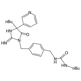 CCCCNC(=O)NCc1ccc(CN2C(=N)NC(CCCC)(c3cccnc3)C2=O)cc1